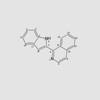 c1ccc2[nH]c(-c3nccc4ccccc34)cc2c1